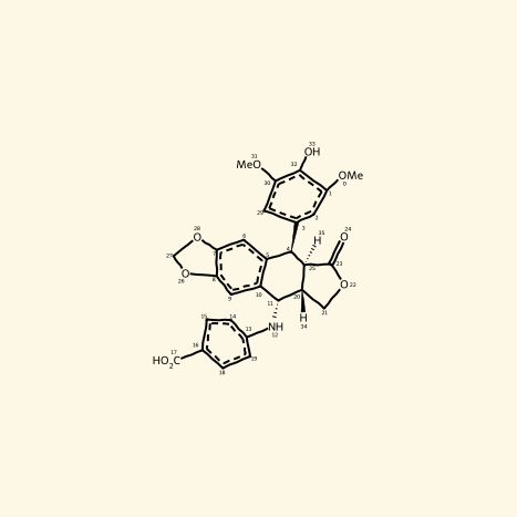 COc1cc([C@@H]2c3cc4c(cc3[C@@H](Nc3ccc(C(=O)O)cc3)[C@H]3COC(=O)[C@H]23)OCO4)cc(OC)c1O